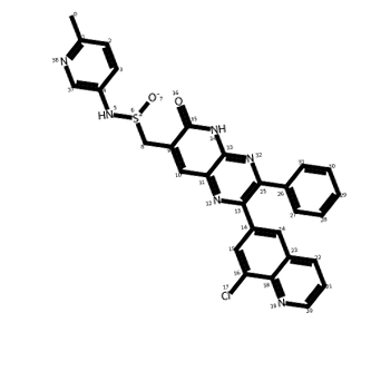 Cc1ccc(N[S+]([O-])Cc2cc3nc(-c4cc(Cl)c5ncccc5c4)c(-c4ccccc4)nc3[nH]c2=O)cn1